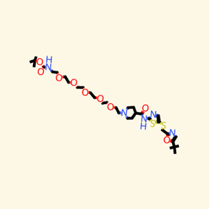 CC(C)(C)OC(=O)NCCOCCOCCOCCOCCOCCN1CCC(C(=O)Nc2ncc(SCc3ncc(C(C)(C)C)o3)s2)CC1